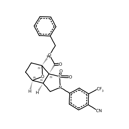 N#Cc1ccc(N2C[C@H]3[C@H]4CC[C@H](O4)[C@@]3(C(=O)OCc3ccccc3)S2(=O)=O)cc1C(F)(F)F